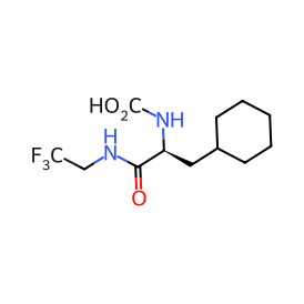 O=C(O)N[C@@H](CC1CCCCC1)C(=O)NCC(F)(F)F